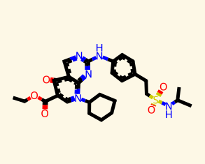 CCOC(=O)c1cn(C2CCCCC2)c2nc(Nc3ccc(CCS(=O)(=O)NC(C)C)cc3)ncc2c1=O